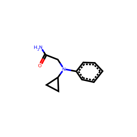 NC(=O)CN(c1ccccc1)C1CC1